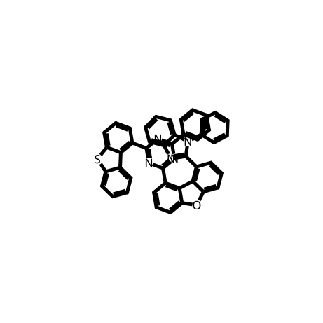 c1ccc(-c2nc(-c3cccc4sc5ccccc5c34)nc(-c3cccc4oc5cccc(-c6nc7ccccc7n6-c6ccccc6)c5c34)n2)cc1